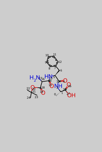 C[C@H](NC(=O)[C@H](Cc1ccccc1)NC(=O)C(N)C(=O)OC(C)(C)C)C(=O)O